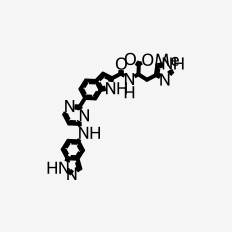 COC(=O)C(Cc1c[nH]cn1)NC(=O)c1cc2ccc(-c3nccc(Nc4ccc5[nH]ncc5c4)n3)cc2[nH]1